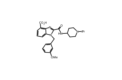 COc1cccc(Cn2c(C(=O)NC3CCN(C(C)C)CC3)nc3c(C(=O)O)cccc32)c1